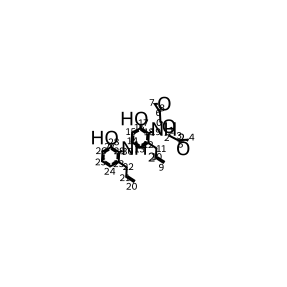 C(OCC1CO1)C1CO1.C=CCc1cccc(O)c1N.C=CCc1cccc(O)c1N